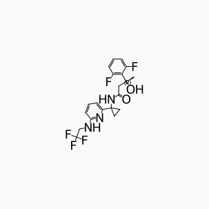 C[C@@](O)(CC(=O)NC1(c2cccc(NCC(F)(F)F)n2)CC1)c1c(F)cccc1F